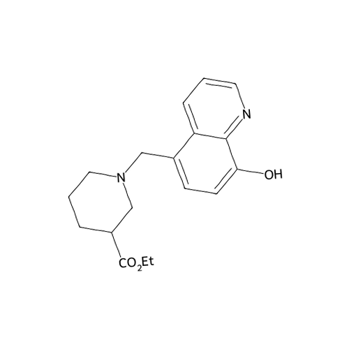 CCOC(=O)C1CCCN(Cc2ccc(O)c3ncccc23)C1